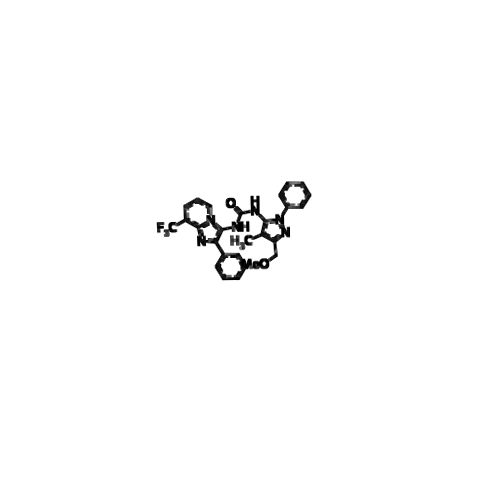 COCc1nn(-c2ccccc2)c(NC(=O)Nc2c(-c3ccccc3)nc3c(C(F)(F)F)cccn23)c1C